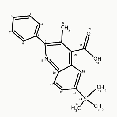 Cc1c(-c2ccccc2)nc2ccc(S(C)(C)C)cc2c1C(=O)O